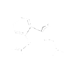 CC(=O)Oc1ccccc1C(=O)CCN(C)C